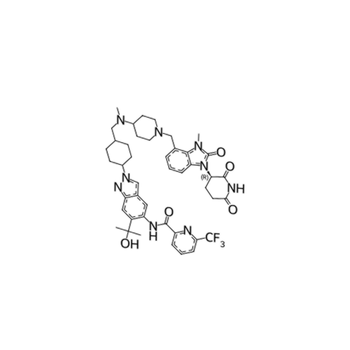 CN(CC1CCC(n2cc3cc(NC(=O)c4cccc(C(F)(F)F)n4)c(C(C)(C)O)cc3n2)CC1)C1CCN(Cc2cccc3c2n(C)c(=O)n3[C@@H]2CCC(=O)NC2=O)CC1